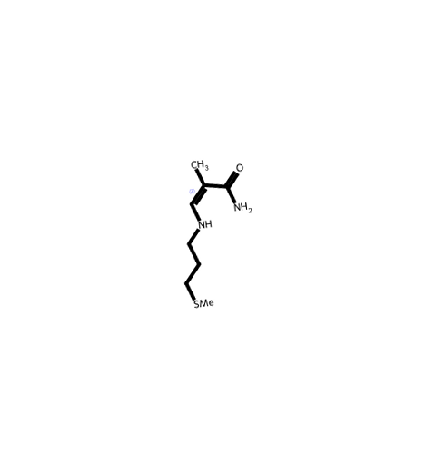 CSCCCN/C=C(/C)C(N)=O